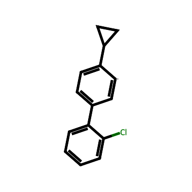 Clc1ccccc1-c1c[c]c(C2CC2)cc1